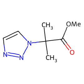 COC(=O)C(C)(C)n1ccnn1